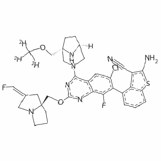 [2H]C([2H])([2H])OC[C@@]12CC[C@@H](CN(c3nc(OC[C@@]45CCCN4C/C(=C\F)C5)nc4c(F)c(-c5cccc6sc(N)c(C#N)c56)c(Cl)cc34)C1)N2